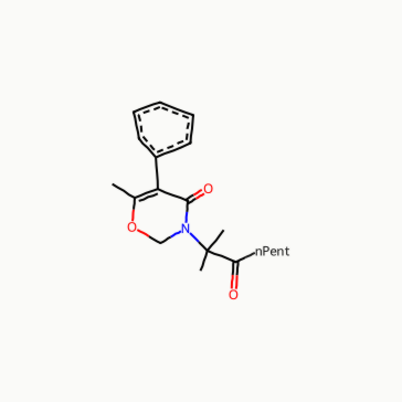 CCCCCC(=O)C(C)(C)N1COC(C)=C(c2ccccc2)C1=O